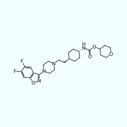 O=C(N[C@H]1CC[C@H](CCN2CCN(c3noc4cc(F)c(F)cc34)CC2)CC1)OC1CCOCC1